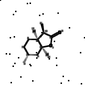 C[C@@H]1CC[C@@H]2[C@H](C1)OC(=O)[C@@H]2C